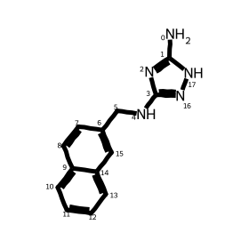 Nc1nc(NCc2ccc3ccccc3c2)n[nH]1